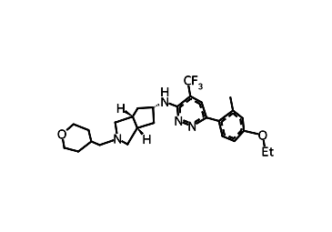 CCOc1ccc(-c2cc(C(F)(F)F)c(N[C@@H]3C[C@@H]4CN(CC5CCOCC5)C[C@@H]4C3)nn2)c(C)c1